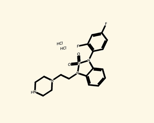 Cl.Cl.O=S1(=O)N(CCN2CCNCC2)c2ccccc2N1c1ccc(F)cc1F